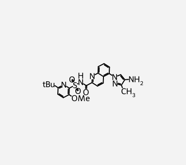 COc1ccc(C(C)(C)C)nc1S(=O)(=O)NC(=O)c1ccc2c(-n3cc(N)c(C)n3)cccc2n1